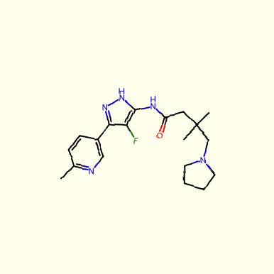 Cc1ccc(-c2n[nH]c(NC(=O)CC(C)(C)CN3CCCC3)c2F)cn1